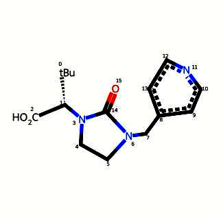 CC(C)(C)[C@@H](C(=O)O)N1CCN(Cc2ccncc2)C1=O